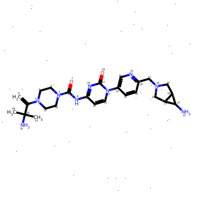 C=C(N1CCN(C(=O)Nc2ccn(-c3ccc(CN4CC5C(N)C5C4)nc3)c(=O)n2)CC1)C(C)(C)N